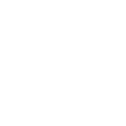 [O-2].[O-2].[O-2].[Pt+2].[Zr+4]